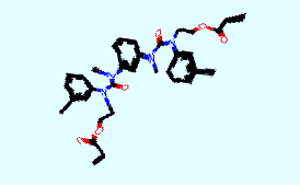 C=CC(=O)OCCN(C(=O)N(C)c1cccc(N(C)C(=O)N(CCOC(=O)C=C)c2cccc(C)c2)c1)c1cccc(C)c1